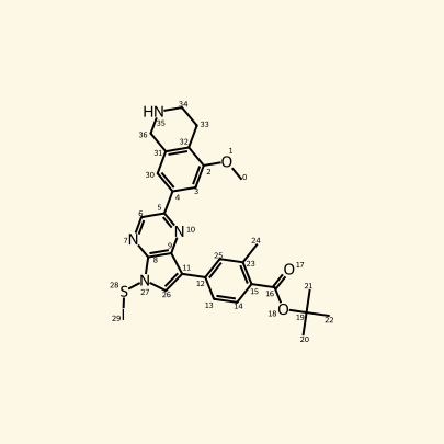 COc1cc(-c2cnc3c(n2)c(-c2ccc(C(=O)OC(C)(C)C)c(C)c2)cn3SI)cc2c1CCNC2